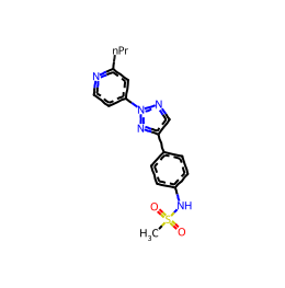 CCCc1cc(-n2ncc(-c3ccc(NS(C)(=O)=O)cc3)n2)ccn1